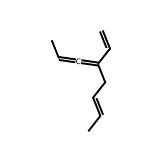 C=CC(=C=CC)CC=CC